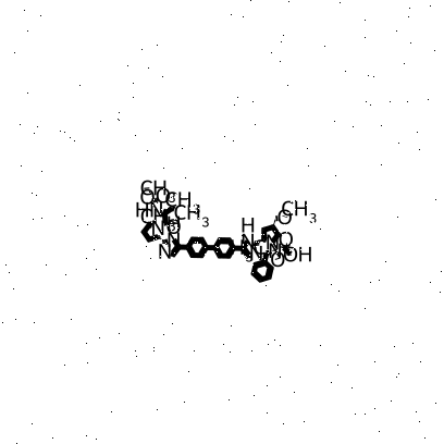 COC[C@H]1C[C@@H](c2ncc(-c3ccc(-c4ccc(-c5cnc([C@@H]6CC[C@H](C)N6C(=O)C(NC(=O)OC)C(C)C)[nH]5)cc4)cc3)[nH]2)N([N+]([O-])(C(=O)O)C(C)c2ccccc2)C1